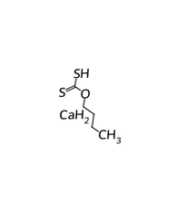 CCCCOC(=S)S.[CaH2]